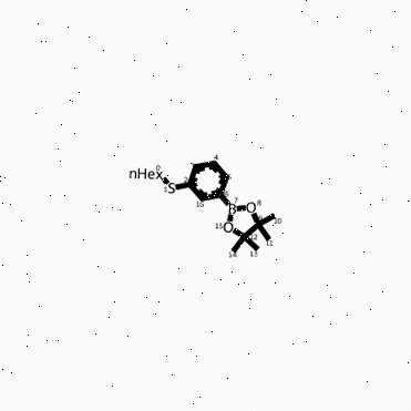 CCCCCCSc1cccc(B2OC(C)(C)C(C)(C)O2)c1